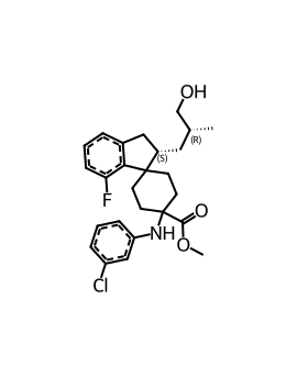 COC(=O)C1(Nc2cccc(Cl)c2)CCC2(CC1)c1c(F)cccc1C[C@@H]2C[C@@H](C)CO